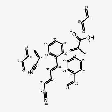 C=C(C)C(=O)O.C=CC#N.C=CC=C.C=CC=C.C=Cc1ccccc1.N#CC=CC=Cc1ccccc1